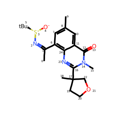 C/C(=N/[S@+]([O-])C(C)(C)C)c1cc(C)cc2c(=O)n(C)c(C3(C)CCOC3)nc12